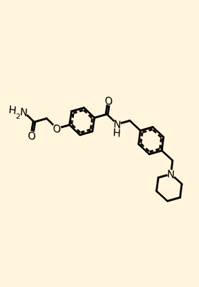 NC(=O)COc1ccc(C(=O)NCc2ccc(CN3CCCCC3)cc2)cc1